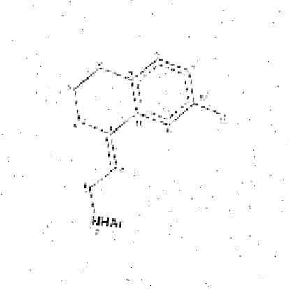 CC(=O)NC/C=C1\CCCc2ccc(C)cc21